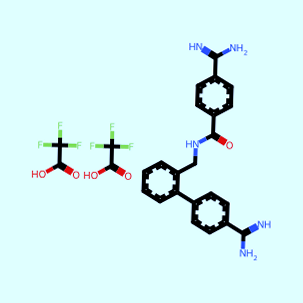 N=C(N)c1ccc(C(=O)NCc2ccccc2-c2ccc(C(=N)N)cc2)cc1.O=C(O)C(F)(F)F.O=C(O)C(F)(F)F